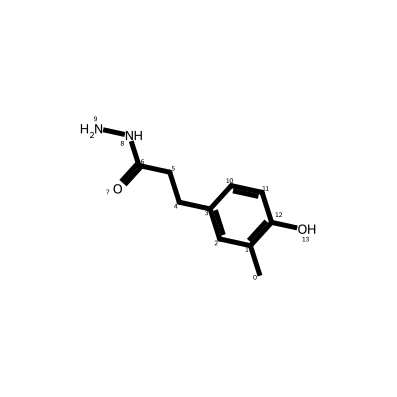 Cc1cc(CCC(=O)NN)ccc1O